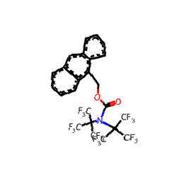 O=C(OCc1c2ccccc2cc2ccccc12)N(C(C(F)(F)F)(C(F)(F)F)C(F)(F)F)C(C(F)(F)F)(C(F)(F)F)C(F)(F)F